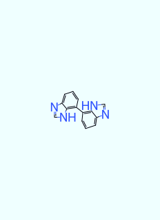 c1cc(-c2cccc3nc[nH]c23)c2[nH]cnc2c1